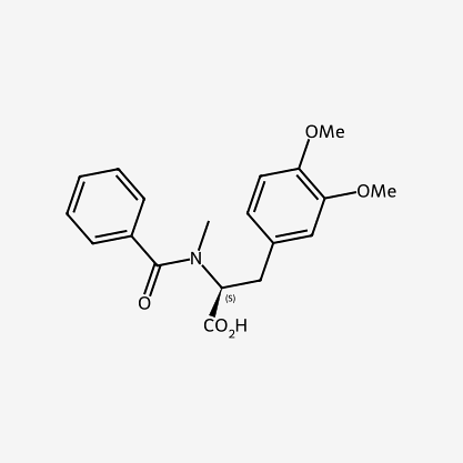 COc1ccc(C[C@@H](C(=O)O)N(C)C(=O)c2ccccc2)cc1OC